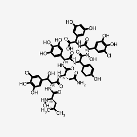 CN[C@H](CC(C)C)C(=O)N[C@@H](C(=O)N[C@@H](CC(N)=O)C(=O)N[C@@H](C(=O)NC(C(=O)N(O)[C@H](C(=O)NC(C(=O)O)c1cc(O)cc(O)c1)c1cc(O)c(O)c(Cl)c1)C1=CC=C(O)CC1)c1cc(O)c(O)c(O)c1)C(O)c1cc(O)c(O)c(Cl)c1